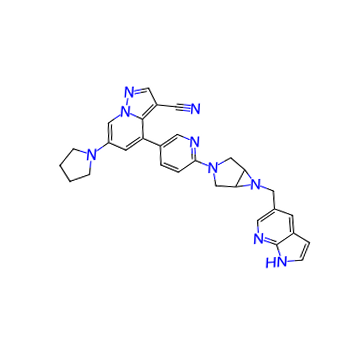 N#Cc1cnn2cc(N3CCCC3)cc(-c3ccc(N4CC5C(C4)N5Cc4cnc5[nH]ccc5c4)nc3)c12